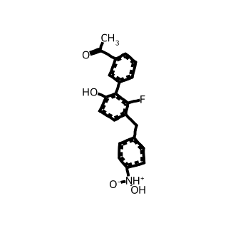 CC(=O)c1cccc(-c2c(O)ccc(Cc3ccc([NH+]([O-])O)cc3)c2F)c1